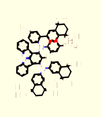 CC(C)(C)c1ccc2c(c1)B1c3cc4c(cc3N(c3ccc5c(c3)C(C)(C)CCC5(C)C)c3c1c(c1c5ccccc5n5c6ccccc6c3c15)N2c1ccc(C(C)(C)C)cc1-c1ccc2c(c1)C(C)(C)CCC2(C)C)C(C)(C)CCC4(C)C